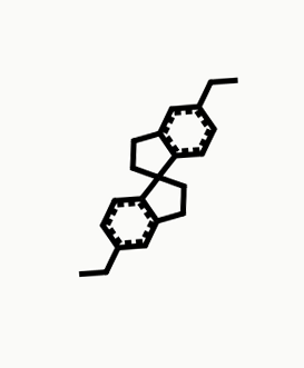 CCc1ccc2c(c1)CCC21CCc2cc(CC)ccc21